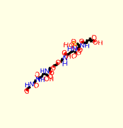 CC(C)(CCC(=O)NC(CS(=O)(=O)O)C(=O)NC(CCC(=O)NCCOCCOCC(=O)NC(CCC(=O)NCC(=O)NCC=O)C(=O)O)C(=O)O)C(=O)O